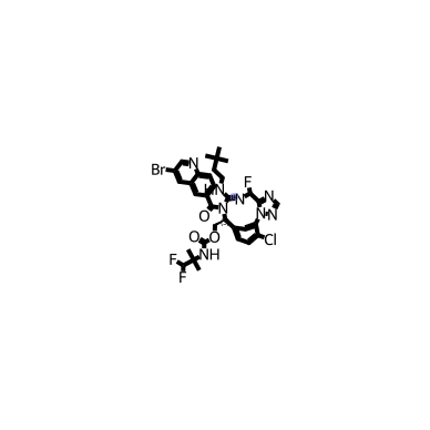 CC(C)(C)CCN/C1=N\C(F)c2ncnn2-c2cc(ccc2Cl)[C@@H](COC(=O)NC(C)(C)C(F)F)N1C(=O)c1ccc2ncc(Br)cc2c1